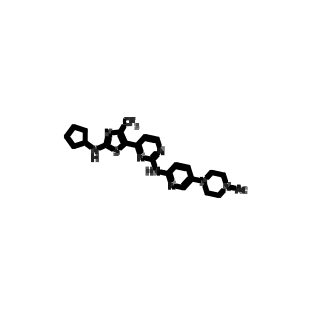 CC(=O)N1CCN(c2ccc(Nc3nccc(-c4sc(NC5CCCC5)nc4C(F)(F)F)n3)nc2)CC1